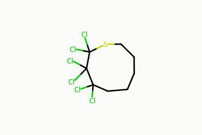 ClC1(Cl)CCCCCSC(Cl)(Cl)C1(Cl)Cl